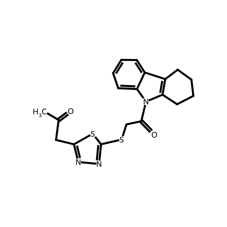 CC(=O)Cc1nnc(SCC(=O)n2c3c(c4ccccc42)CCCC3)s1